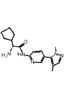 Cc1cnn(C)c1-c1ccc(NC(=O)[C@@H](N)C2CCCC2)nc1